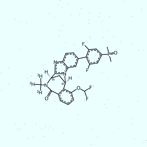 [2H]C([2H])([2H])N1C(=O)c2cccc(OC(F)F)c2[C@H]2C[C@@H]1c1nc3ccc(-c4c(F)cc(P(C)(C)=O)cc4F)cc3n12